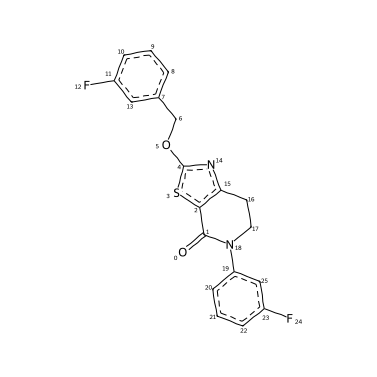 O=C1c2sc(OCc3cccc(F)c3)nc2CCN1c1cccc(F)c1